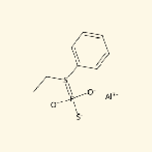 CCS(c1ccccc1)=P([O-])([O-])[S-].[Al+3]